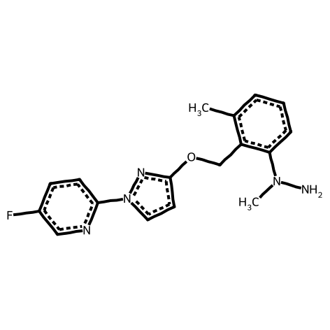 Cc1cccc(N(C)N)c1COc1ccn(-c2ccc(F)cn2)n1